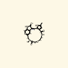 Cc1cc2c([nH]1)/C=C1\C(=O)Nc3cnc(cc31)CN(C)C(=O)COCCNC2=O